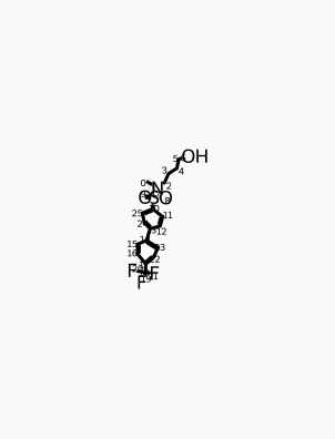 CN(CCCCO)S(=O)(=O)c1ccc(-c2ccc(C(F)(F)F)cc2)cc1